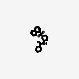 O=C(NC1CCCN(S(=O)(=O)c2cccc3ccccc23)C1)C1CCCCC1